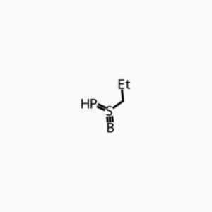 B#S(=P)CCC